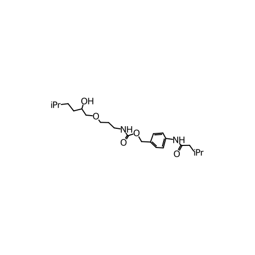 CC(C)CCC(O)COCCCNC(=O)OCc1ccc(NC(=O)CC(C)C)cc1